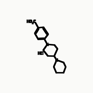 Cl.O=C(O)c1ccc(N2CCC(N3CCCCC3)CC2)cc1